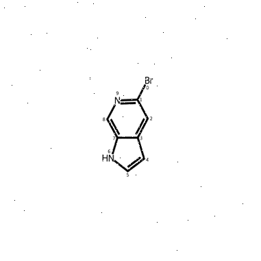 Brc1cc2cc[nH]c2cn1